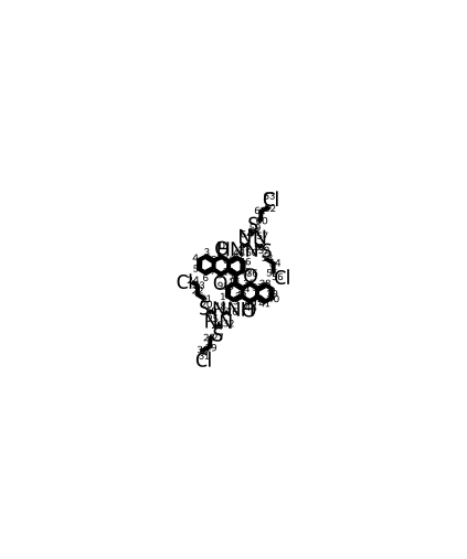 O=C1c2ccccc2C(=O)c2c(-c3ccc(Nc4nc(SCCCCl)nc(SCCCCl)n4)c4c3C(=O)c3ccccc3C4=O)ccc(Nc3nc(SCCCCl)nc(SCCCCl)n3)c21